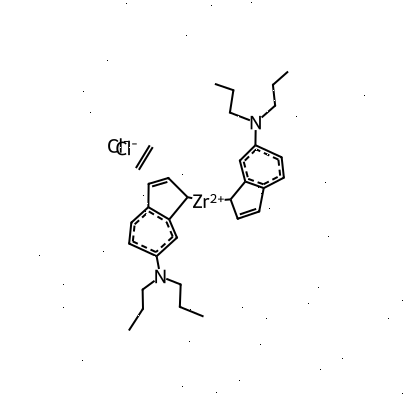 C=C.CCCN(CCC)c1ccc2c(c1)[CH]([Zr+2][CH]1C=Cc3ccc(N(CCC)CCC)cc31)C=C2.[Cl-].[Cl-]